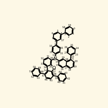 c1ccc(-c2cccc(-c3ccc(N(c4ccc5cccc(-c6ccccc6)c5c4)c4cccc5c4oc4c(-c6ccccc6)ccc(-c6ccccc6)c45)cc3)c2)cc1